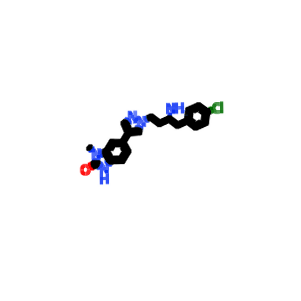 Cn1c(=O)[nH]c2ccc(-c3cnn(CC[C@@H](N)Cc4ccc(Cl)cc4)c3)cc21